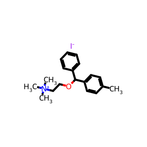 Cc1ccc(C(OCC[N+](C)(C)C)c2ccccc2)cc1.[I-]